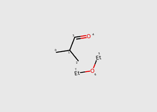 CC(C)C=O.CCOCC